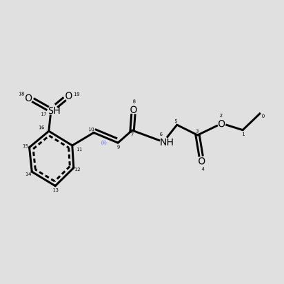 CCOC(=O)CNC(=O)/C=C/c1ccccc1[SH](=O)=O